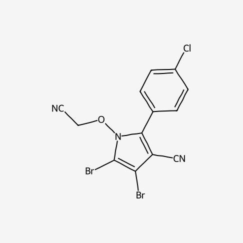 N#CCOn1c(Br)c(Br)c(C#N)c1-c1ccc(Cl)cc1